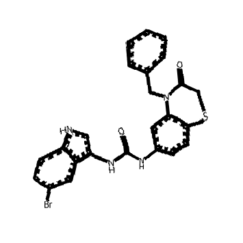 O=C(Nc1ccc2c(c1)N(Cc1ccccc1)C(=O)CS2)Nc1c[nH]c2ccc(Br)cc12